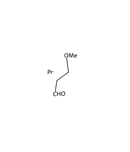 COCCC=O.[Pr]